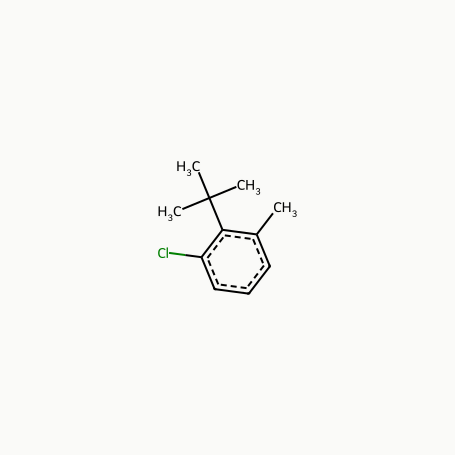 Cc1cccc(Cl)c1C(C)(C)C